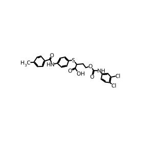 Cc1ccc(C(=O)Nc2ccc(SC(CCOC(=O)Nc3ccc(Cl)c(Cl)c3)C(=O)O)cc2)cc1